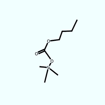 CCCCOC(=O)O[Si](C)(C)C